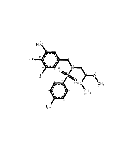 COC(CN(Cc1cc(C)c(F)c(F)c1)S(=O)(=O)c1ccc(C)cc1)OC